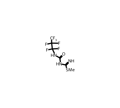 CSC(=N)NC(=O)NC(F)(F)C(F)(F)C(F)(F)F